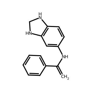 C=C(Nc1ccc2c(c1)NCN2)c1ccccc1